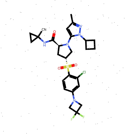 Cc1cc(N2C[C@H](S(=O)(=O)c3ccc(N4CC(F)(F)C4)cc3Cl)C[C@H]2C(=O)NC2(C#N)CC2)n(C2CCC2)n1